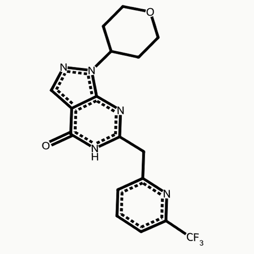 O=c1[nH]c(Cc2cccc(C(F)(F)F)n2)nc2c1cnn2C1CCOCC1